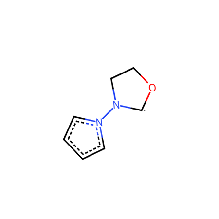 [CH]1OCCN1n1cccc1